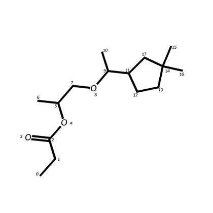 CCC(=O)OC(C)COC(C)C1CCC(C)(C)C1